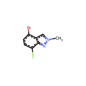 Cn1cc2c(Br)ccc(F)c2n1